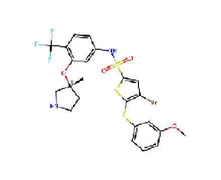 COc1cccc(Sc2sc(S(=O)(=O)Nc3ccc(C(F)(F)F)c(O[C@]4(C)CCNC4)c3)cc2Br)c1